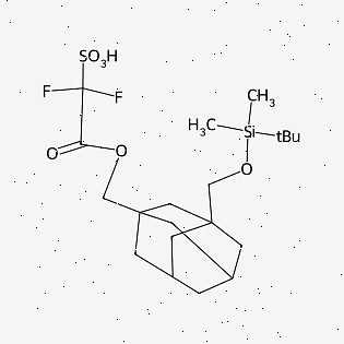 CC(C)(C)[Si](C)(C)OCC12CC3CC(CC(COC(=O)C(F)(F)S(=O)(=O)O)(C3)C1)C2